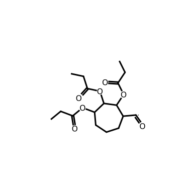 CCC(=O)OC1CCCC([C]=O)C(OC(=O)CC)C1OC(=O)CC